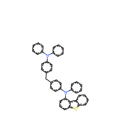 c1ccc(N(c2ccccc2)c2ccc(Cc3ccc(N(c4ccccc4)c4cccc5sc6ccccc6c45)cc3)cc2)cc1